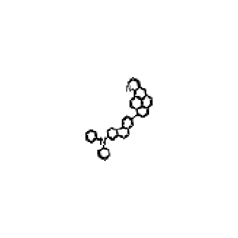 c1ccc(N(c2ccccc2)c2ccc3c(ccc4cc(-c5ccc6ccc7cc8cccnc8c8ccc5c6c78)ccc43)c2)cc1